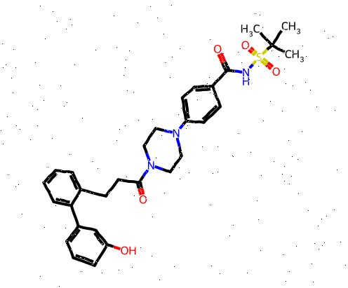 CC(C)(C)S(=O)(=O)NC(=O)c1ccc(N2CCN(C(=O)CCc3ccccc3-c3cccc(O)c3)CC2)cc1